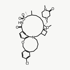 CO[C@]1(CN2CCN(C)C(=O)C2)CCCC(C)[C@@H](C)S(=O)(=O)NC(=O)c2ccc3c(c2)N(CCCCc2cc(Cl)ccc2CO3)CC2CC[C@H]21